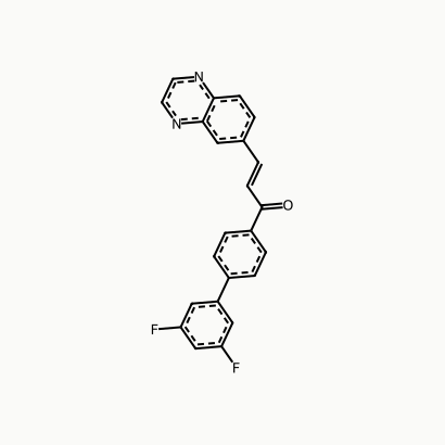 O=C(C=Cc1ccc2nccnc2c1)c1ccc(-c2cc(F)cc(F)c2)cc1